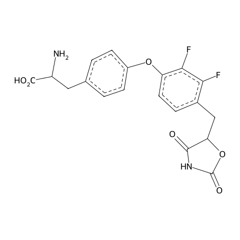 NC(Cc1ccc(Oc2ccc(CC3OC(=O)NC3=O)c(F)c2F)cc1)C(=O)O